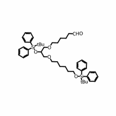 CC(C)(C)[Si](OCCCCCCOCC(COCCCCCC=O)O[Si](c1ccccc1)(c1ccccc1)C(C)(C)C)(c1ccccc1)c1ccccc1